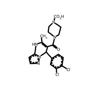 CC1=C(C(=O)N2CCN(C(=O)O)CC2)C(c2ccc(Cl)c(Cl)c2)n2nccc2N1